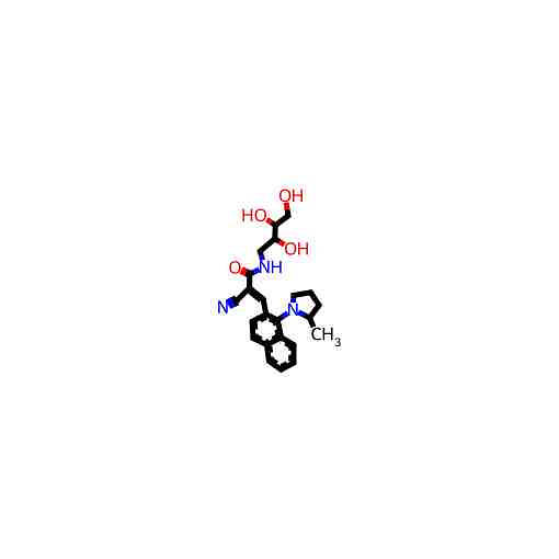 CC1CCCN1c1c(/C=C(\C#N)C(=O)NCC(O)C(O)CO)ccc2ccccc12